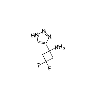 NC1(c2c[nH]nn2)CC(F)(F)C1